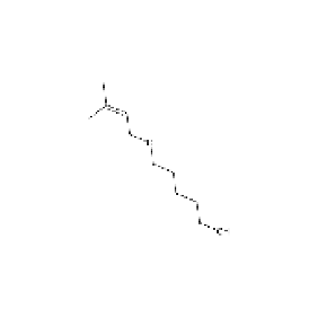 CC(C)=CCOCCCCCO